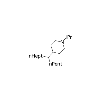 CCCCCCCC(CCCCC)C1CCN(C(C)C)CC1